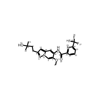 COc1cn2nc(CCC(C)(C)O)cc2cc1NC(=O)c1cccc(C(F)(F)F)n1